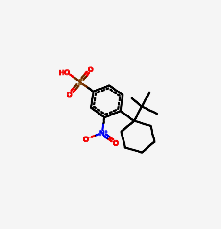 CC(C)(C)C1(c2ccc(S(=O)(=O)O)cc2[N+](=O)[O-])CCCCC1